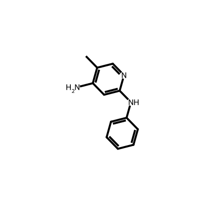 Cc1cnc(Nc2ccccc2)cc1N